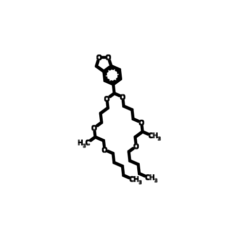 CCCCCOCC(C)OCCCOC(OCCCOC(C)COCCCCC)c1ccc2c(c1)COO2